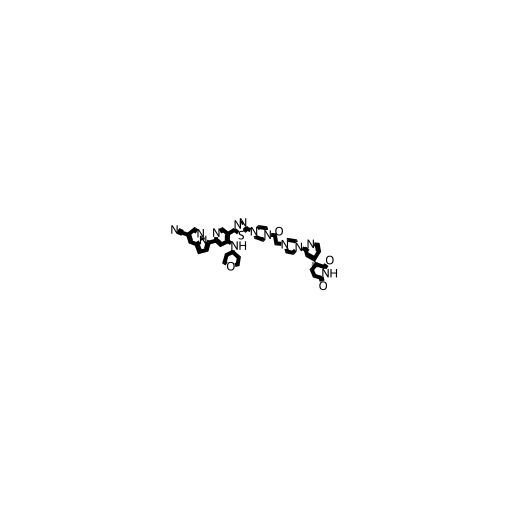 N#Cc1cnn2c(-c3cc(NC4CCOCC4)c(-c4nnc(N5CCN(C(=O)CN6CCN(c7cc([C@H]8CCC(=O)NC8=O)ccn7)CC6)CC5)s4)cn3)ccc2c1